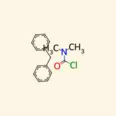 CN(C)C(=O)Cl.c1ccc(Cc2ccccc2)cc1